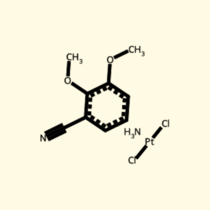 COc1cccc(C#N)c1OC.N.[Cl][Pt][Cl]